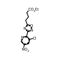 CCOC(=O)CCCc1nc(-c2ncc([N+](=O)[O-])cc2Cl)no1